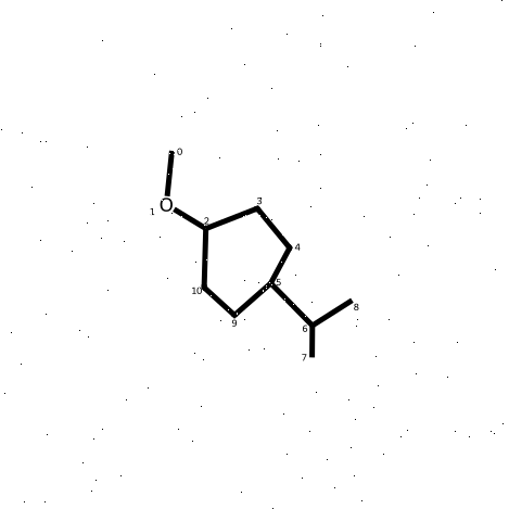 COC1CCC(C(C)C)CC1